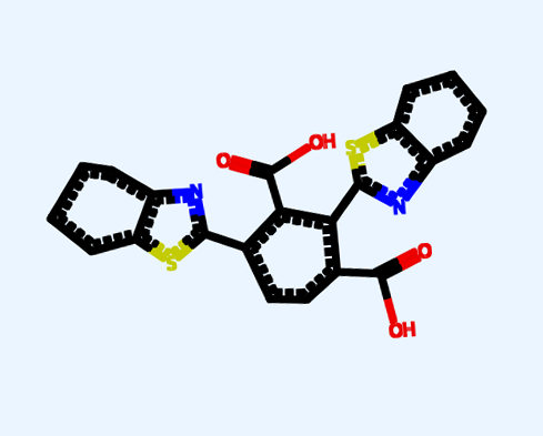 O=C(O)c1ccc(-c2nc3ccccc3s2)c(C(=O)O)c1-c1nc2ccccc2s1